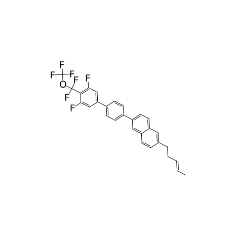 C/C=C/CCc1ccc2cc(-c3ccc(-c4cc(F)c(C(F)(F)OC(F)(F)F)c(F)c4)cc3)ccc2c1